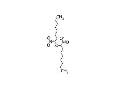 CCCCCCCC(OC(CCCCCCC)[N+](=O)[O-])[N+](=O)[O-]